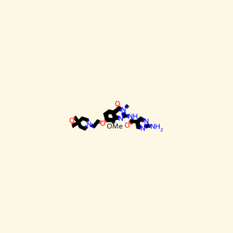 COc1c(OCCN2CCC3(CC2)COC3)ccc2c(=O)n(C)c(NC(=O)c3cnc(N)nc3)nc12